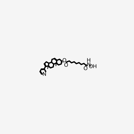 C[C@]12CC[C@H](OC(=O)CCCCCCCC(=O)NO)CC1=CCC1C2CC[C@]2(C)C(c3cccnc3)=CCC12